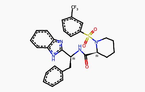 O=C(N[C@@H](Cc1ccccc1)c1nc2ccccc2[nH]1)[C@@H]1CCCCN1S(=O)(=O)c1cccc(C(F)(F)F)c1